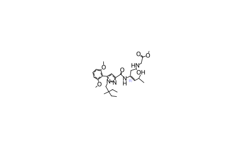 CCC(C)(CC)Cn1nc(C(=O)N/C(=C/C(C)C)CC(O)NCC(=O)OC)cc1-c1c(OC)cccc1OC